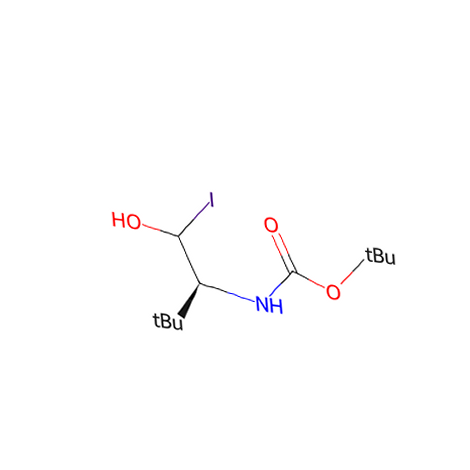 CC(C)(C)OC(=O)N[C@H](C(O)I)C(C)(C)C